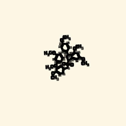 COc1ccc(CS(=O)(=O)C2c3cc(OC)cc(OC)c3[C@H](c3ccc(OC)cc3)[C@H]2c2cc(OC)cc(OC)c2)cc1